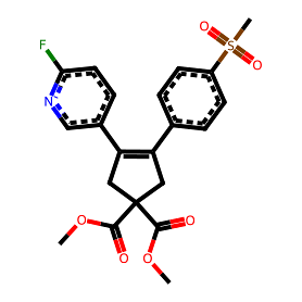 COC(=O)C1(C(=O)OC)CC(c2ccc(S(C)(=O)=O)cc2)=C(c2ccc(F)nc2)C1